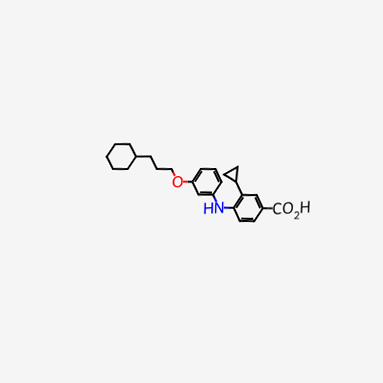 O=C(O)c1ccc(Nc2cccc(OCCCC3CCCCC3)c2)c(C2CC2)c1